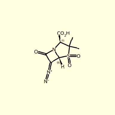 CC1(C)[C@H](C(=O)O)N2C(=O)C(=[N+]=[N-])[C@H]2S1(=O)=O